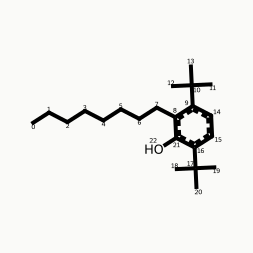 CCCCCCCCc1c(C(C)(C)C)ccc(C(C)(C)C)c1O